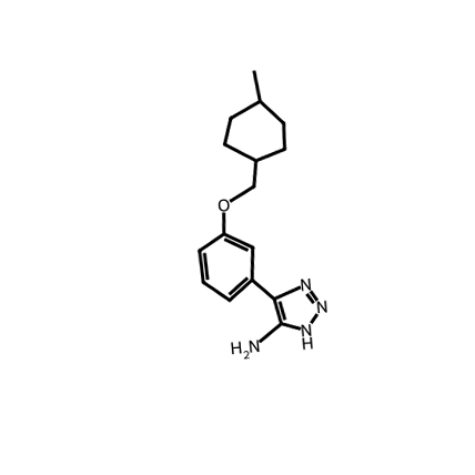 CC1CCC(COc2cccc(-c3nn[nH]c3N)c2)CC1